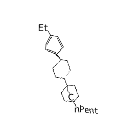 CCCCCC12CCC([C@H]3CC[C@H](c4ccc(CC)cc4)CC3)(CC1)CC2